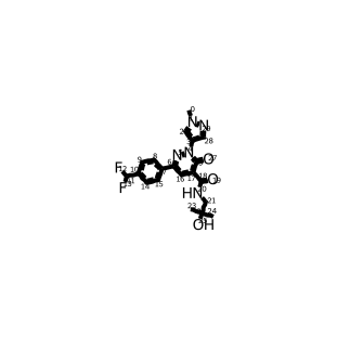 Cn1cc(-n2nc(-c3ccc(C(F)F)cc3)cc(C(=O)NCC(C)(C)O)c2=O)cn1